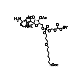 CCCCCCCCCCCCCCCCOCCCOP(=O)(OCOC(=O)OC(C)C)OC[C@H]1O[C@@](C#N)(c2ccc3c(N)ncnn23)[C@H](OC(C)=O)[C@@H]1OC(C)=O